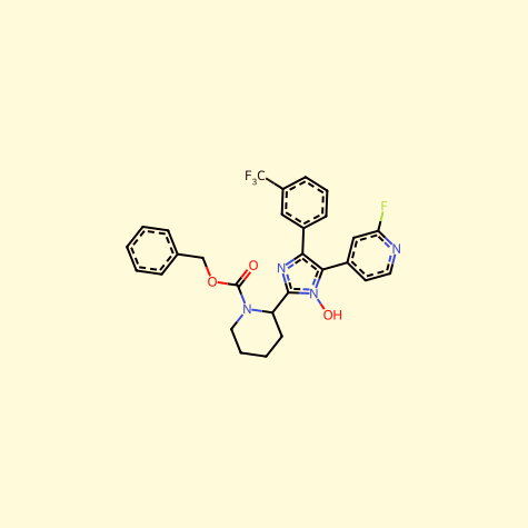 O=C(OCc1ccccc1)N1CCCCC1c1nc(-c2cccc(C(F)(F)F)c2)c(-c2ccnc(F)c2)n1O